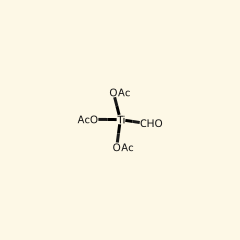 CC(=O)[O][Ti]([CH]=O)([O]C(C)=O)[O]C(C)=O